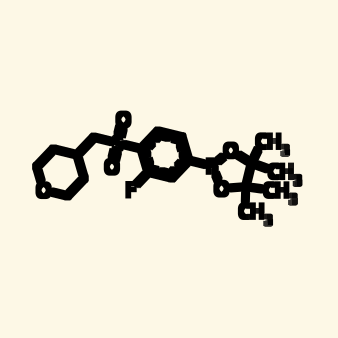 CC1(C)OB(c2ccc(S(=O)(=O)CC3CCOCC3)c(F)c2)OC1(C)C